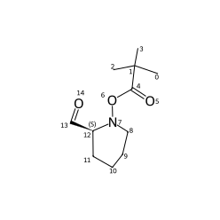 CC(C)(C)C(=O)ON1CCCC[C@H]1C=O